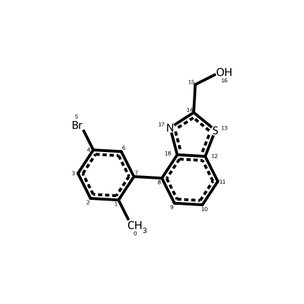 Cc1ccc(Br)cc1-c1cccc2sc(CO)nc12